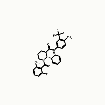 Cc1ccc(NC(=O)C2CCCN(C(=O)c3c(C)cccc3F)[C@H]2C2C=CC=CC2)cc1C(F)(F)F